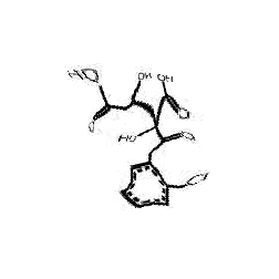 O=C(O)C(O)C(O)(C(=O)O)C(=O)c1ccccc1Cl